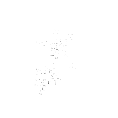 CCCCOC[C@H]1O[C@@](O)(C(F)(F)C(=O)NCCCC[C@H]2C(=O)N[C@H](C(=O)N[C@@H](C)C(C)(C)C(=O)OC)N2C(=O)OC(C)(C)C)[C@H](OCCCC)[C@@H](OCCCC)C1OCCCC